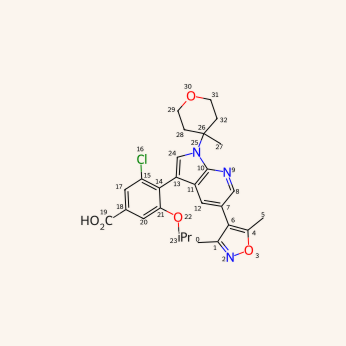 Cc1noc(C)c1-c1cnc2c(c1)c(-c1c(Cl)cc(C(=O)O)cc1OC(C)C)cn2C1(C)CCOCC1